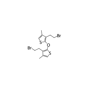 Cc1csc(Oc2scc(C)c2CCBr)c1CCBr